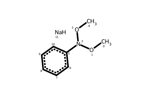 CON(OC)c1ccccc1.[NaH]